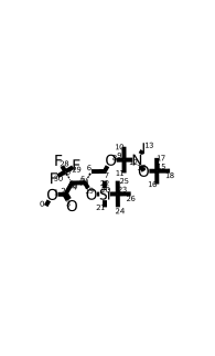 COC(=O)[C@@H]([C@H](CCOC(C)(C)N(I)OC(C)(C)C)O[Si](C)(C)C(C)(C)C)C(F)(F)F